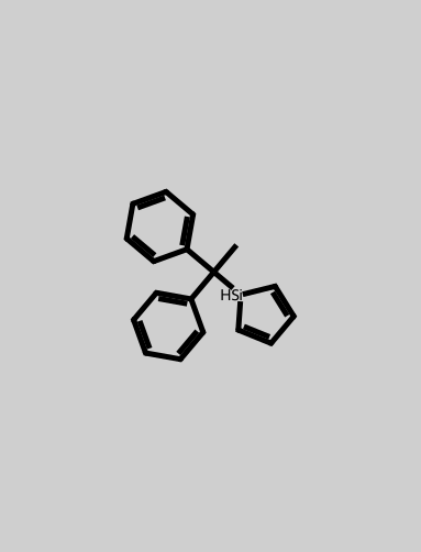 CC(c1ccccc1)(c1ccccc1)[SiH]1C=CC=C1